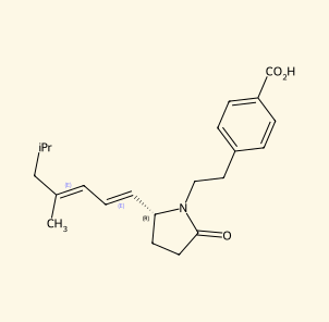 C/C(=C\C=C\[C@H]1CCC(=O)N1CCc1ccc(C(=O)O)cc1)CC(C)C